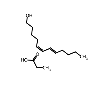 CCC(=O)O.CCCC/C=C/C=C\CCCCO